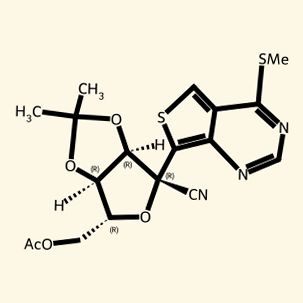 CSc1ncnc2c([C@]3(C#N)O[C@H](COC(C)=O)[C@H]4OC(C)(C)O[C@H]43)scc12